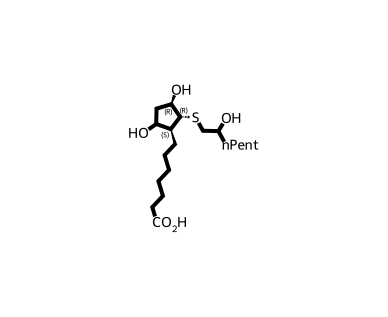 CCCCCC(O)CS[C@H]1[C@H](O)CC(O)[C@@H]1CCCCCCC(=O)O